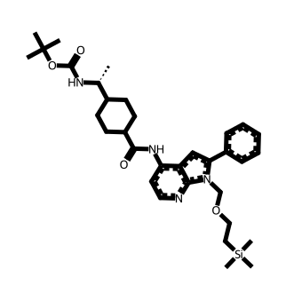 C[C@@H](NC(=O)OC(C)(C)C)C1CCC(C(=O)Nc2ccnc3c2cc(-c2ccccc2)n3COCC[Si](C)(C)C)CC1